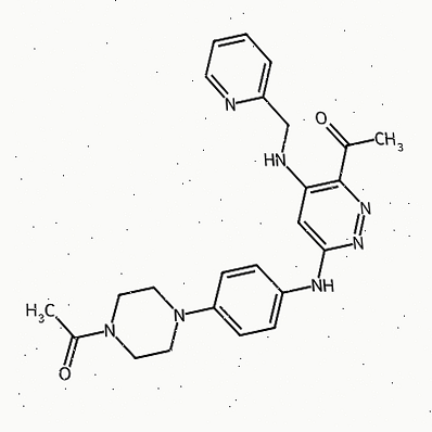 CC(=O)c1nnc(Nc2ccc(N3CCN(C(C)=O)CC3)cc2)cc1NCc1ccccn1